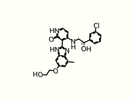 Cc1cc(OCCO)cc2[nH]c(-c3c(NC[C@@H](O)c4cccc(Cl)c4)cc[nH]c3=O)nc12